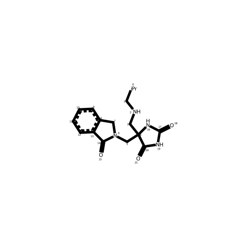 CC(C)CNCC1(CN2Cc3ccccc3C2=O)NC(=O)NC1=O